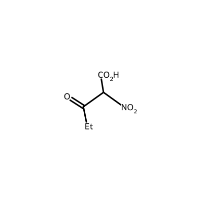 CCC(=O)C(C(=O)O)[N+](=O)[O-]